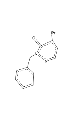 CC(C)c1ccnn(Cc2ccccc2)c1=O